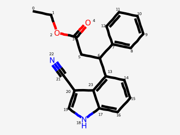 CCOC(=O)CC(c1ccccc1)c1cccc2[nH]cc(C#N)c12